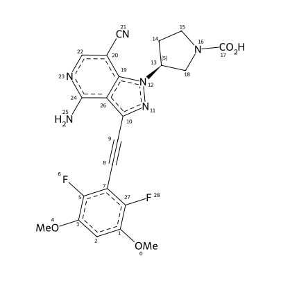 COc1cc(OC)c(F)c(C#Cc2nn([C@H]3CCN(C(=O)O)C3)c3c(C#N)cnc(N)c23)c1F